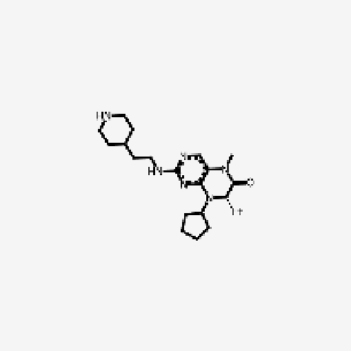 CC[C@H]1C(=O)N(C)c2cnc(NCCC3CCNCC3)nc2N1C1CCCC1